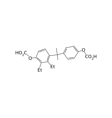 CCc1c(OC(=O)O)ccc(C(C)(C)c2ccc(OC(=O)O)cc2)c1CC